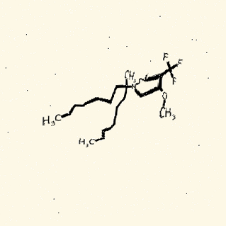 CCCCCCCC(C)(CCCCCC)n1cc(OC)c(C(F)(F)F)n1